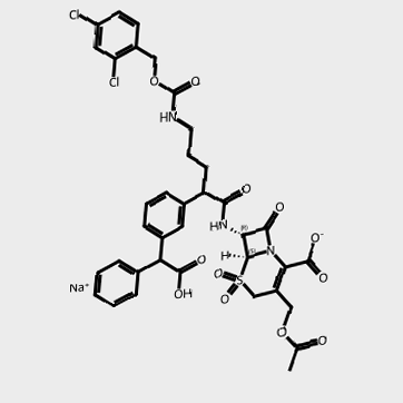 CC(=O)OCC1=C(C(=O)[O-])N2C(=O)[C@@H](NC(=O)C(CCCNC(=O)OCc3ccc(Cl)cc3Cl)c3cccc(C(C(=O)O)c4ccccc4)c3)[C@@H]2S(=O)(=O)C1.[Na+]